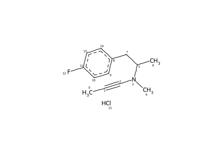 CC#CN(C)C(C)Cc1ccc(F)cc1.Cl